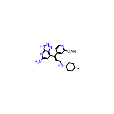 COc1cc(/C(=C\CN[C@H]2CC[C@H](C)CC2)c2cc(N)nc3[nH]nnc23)ccn1